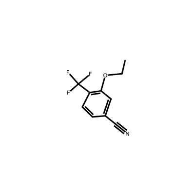 CCOc1cc(C#N)ccc1C(F)(F)F